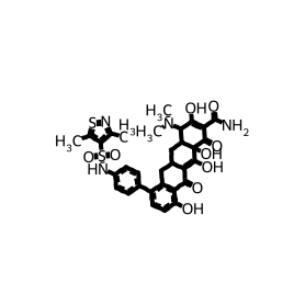 Cc1nsc(C)c1S(=O)(=O)Nc1ccc(-c2ccc(O)c3c2CC2CC4C(N(C)C)C(O)=C(C(N)=O)C(=O)C4(O)C(O)=C2C3=O)cc1